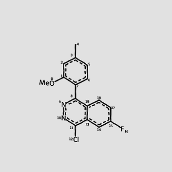 COc1cc(C)ccc1-c1nnc(Cl)c2cc(F)ccc12